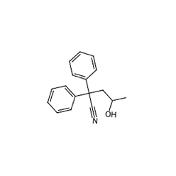 CC(O)CC(C#N)(c1ccccc1)c1ccccc1